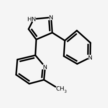 Cc1cccc(-c2c[nH]nc2-c2ccncc2)n1